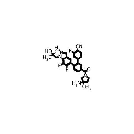 CC(C)(O)Cn1ncc2cc(-c3ccc(C(=O)N4CCC(C)(N)C4)cc3-c3ccc(C#N)c(F)c3)c(F)c(F)c21